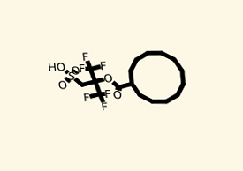 O=C(OC(CS(=O)(=O)O)(C(F)(F)F)C(F)(F)F)C1CCCCCCCCCCC1